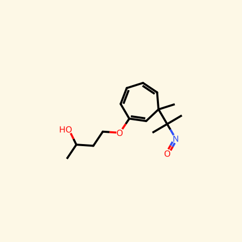 CC(O)CCOC1=CC(C)(C(C)(C)N=O)C=CC=C1